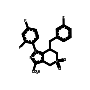 O=C(O)c1nn(-c2ccc(F)cc2F)c2c1CS(=O)(=O)CC2Cc1cccc(F)c1